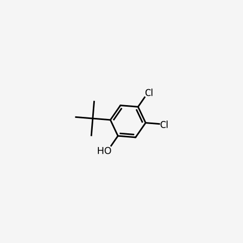 CC(C)(C)c1cc(Cl)c(Cl)cc1O